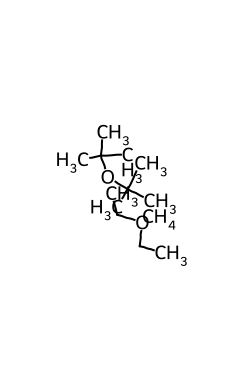 C.CC(C)(C)OC(C)(C)C.CCOCC